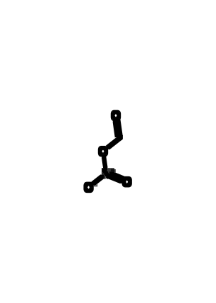 O=CO[N+](=O)[O-]